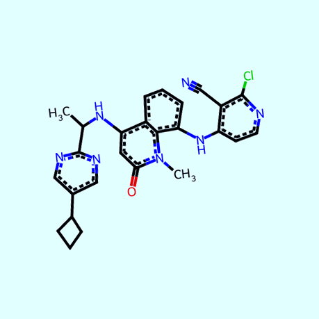 CC(Nc1cc(=O)n(C)c2c(Nc3ccnc(Cl)c3C#N)cccc12)c1ncc(C2CCC2)cn1